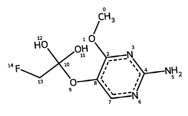 COc1nc(N)ncc1OC(O)(O)CF